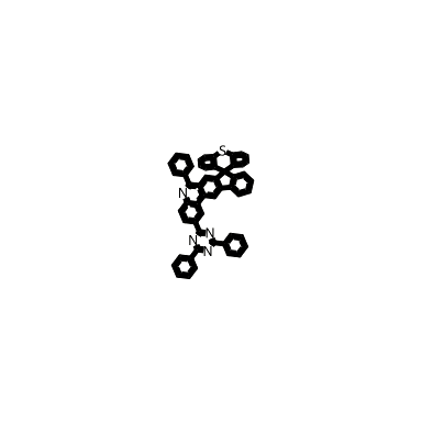 c1ccc(-c2nc(-c3ccccc3)nc(-c3ccc4nc(-c5ccccc5)c5cc6c(cc5c4c3)-c3ccccc3C63c4ccccc4Sc4ccccc43)n2)cc1